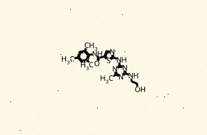 Cc1cc(C)c(NC(=O)c2cnc(Nc3nc(C)nc(NCCO)n3)s2)c(C)c1